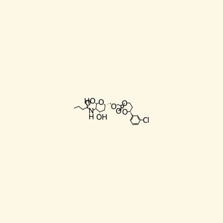 CCCC(=O)N[C@H]1C(O)O[C@H](COCP2(=O)OCC[C@@H](c3cccc(Cl)c3)O2)C[C@@H]1O